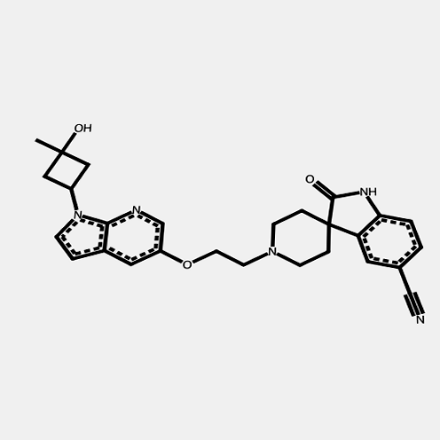 CC1(O)CC(n2ccc3cc(OCCN4CCC5(CC4)C(=O)Nc4ccc(C#N)cc45)cnc32)C1